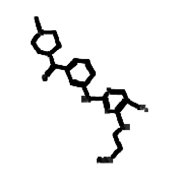 CC(=O)NCCNc1nc(Nc2cccc(C(=O)N3CCN(C)CC3)c2)ncc1C(F)(F)F